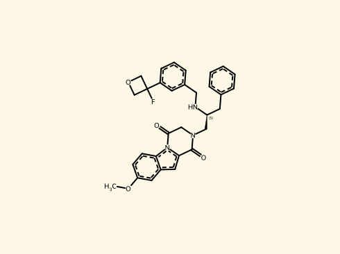 COc1ccc2c(c1)cc1n2C(=O)CN(C[C@H](Cc2ccccc2)NCc2cccc(C3(F)COC3)c2)C1=O